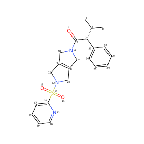 CC(C)[C@@H](C(=O)N1CC2=C(C1)CN(S(=O)(=O)c1ccccn1)C2)c1ccccc1